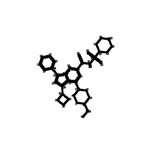 COC1CCN(c2cc(C(=O)NS(=O)(=O)C3CCOCC3)nc3c2c(C2CCC2)nn3-c2ccccc2)CC1